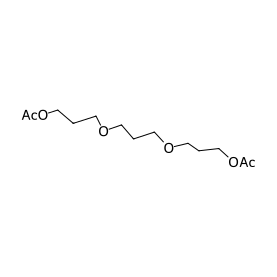 CC(=O)OCCCOCCCOCCCOC(C)=O